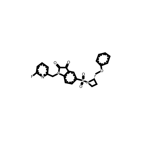 O=C1C(=O)N(Cc2cccc(F)n2)c2ccc(S(=O)(=O)N3CC[C@H]3COc3ccccc3)cc21